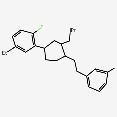 CCc1ccc(F)c(C2CCC(CCc3cccc(C)c3)C(CC(C)C)C2)c1